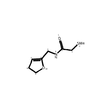 CSCC(=O)NCC1=CCCO1